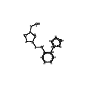 OCC1OCC(COc2ccccc2-n2ccnc2)O1